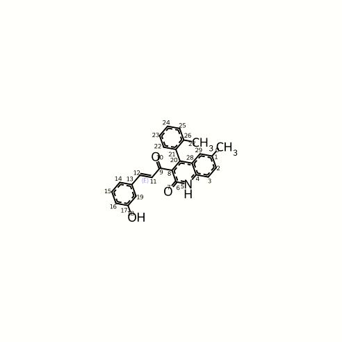 Cc1ccc2[nH]c(=O)c(C(=O)/C=C/c3cccc(O)c3)c(-c3ccccc3C)c2c1